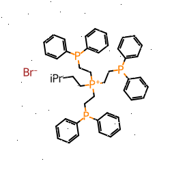 CC(C)CC[P+](CCP(c1ccccc1)c1ccccc1)(CCP(c1ccccc1)c1ccccc1)CCP(c1ccccc1)c1ccccc1.[Br-]